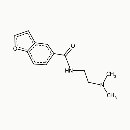 CN(C)CCNC(=O)c1ccc2occc2c1